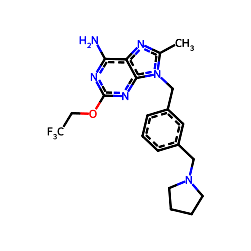 Cc1nc2c(N)nc(OCC(F)(F)F)nc2n1Cc1cccc(CN2CCCC2)c1